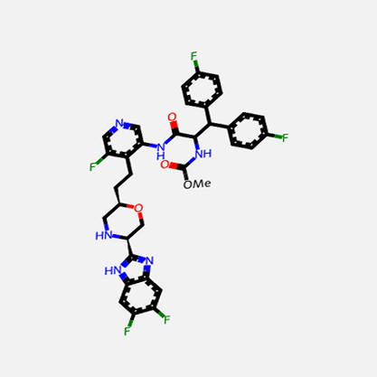 COC(=O)NC(C(=O)Nc1cncc(F)c1CC[C@@H]1CN[C@H](c2nc3cc(F)c(F)cc3[nH]2)CO1)C(c1ccc(F)cc1)c1ccc(F)cc1